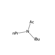 [CH2]C(=O)N(CCC)C(C)CC